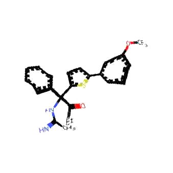 CCC(=O)C(NC(C)=N)(c1ccccc1)c1ccc(-c2cccc(OC(F)(F)F)c2)s1